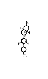 CCC1CC[C@@H]2C[C@H](c3cc(F)c(-c4ccc(C(F)(F)F)cc4)c(F)c3)CC[C@@H]2C1